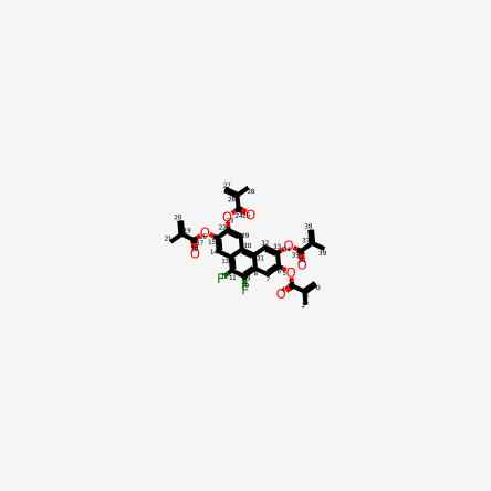 C=C(C)C(=O)Oc1cc2c(F)c(F)c3cc(OC(=O)C(=C)C)c(OC(=O)C(=C)C)cc3c2cc1OC(=O)C(=C)C